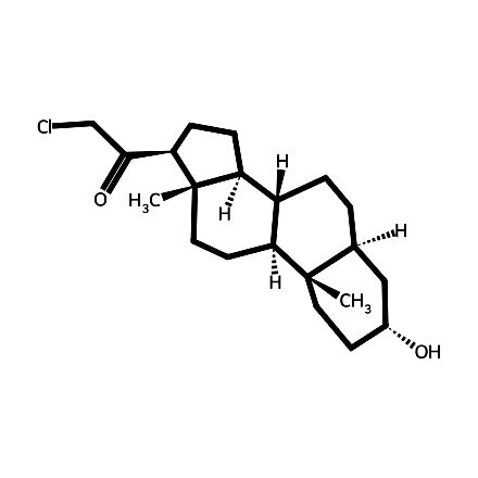 C[C@]12CC[C@@H](O)C[C@@H]1CC[C@@H]1[C@@H]2CC[C@]2(C)[C@@H](C(=O)CCl)CC[C@@H]12